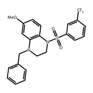 COc1ccc2c(c1)N(Cc1ccccc1)CCN2S(=O)(=O)c1cccc(C(F)(F)F)c1